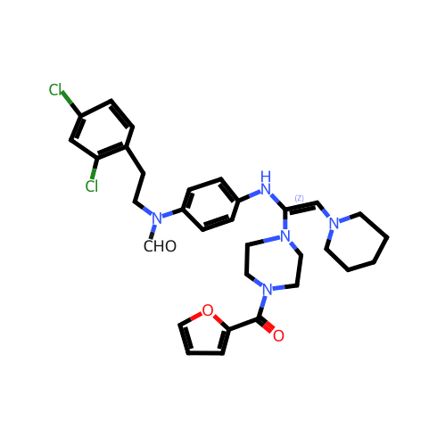 O=CN(CCc1ccc(Cl)cc1Cl)c1ccc(N/C(=C/N2CCCCC2)N2CCN(C(=O)c3ccco3)CC2)cc1